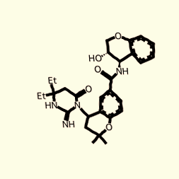 CCC1(CC)CC(=O)N(C2CC(C)(C)Oc3ccc(C(=O)N[C@@H]4c5ccccc5OC[C@H]4O)cc32)C(=N)N1